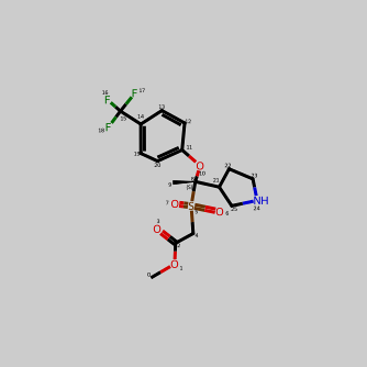 COC(=O)CS(=O)(=O)[C@](C)(Oc1ccc(C(F)(F)F)cc1)C1CCNC1